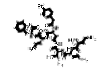 CCc1ccc(CC(=O)N[C@@H](CCNC(=O)[C@@H](NC(=O)[C@H](CCN)NC(=O)[C@@H](N)CCN)[C@@H](C)O)C(=O)N[C@@H](CCN)C(=O)N[C@H](Cc2ccccc2)C(N)=O)nc1